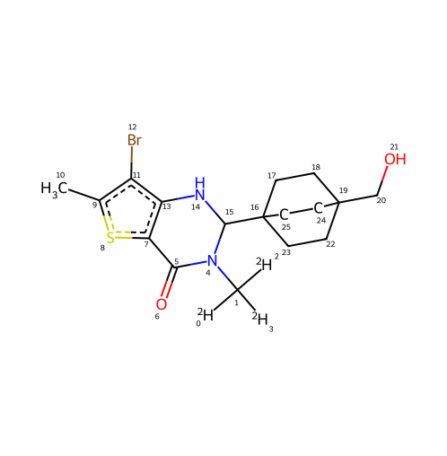 [2H]C([2H])([2H])N1C(=O)c2sc(C)c(Br)c2NC1C12CCC(CO)(CC1)CC2